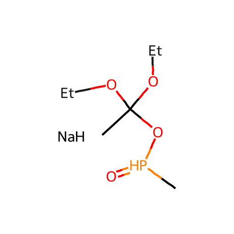 CCOC(C)(OCC)O[PH](C)=O.[NaH]